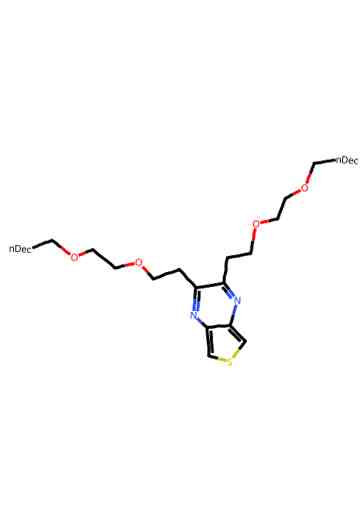 CCCCCCCCCCCOCCOCCc1nc2cscc2nc1CCOCCOCCCCCCCCCCC